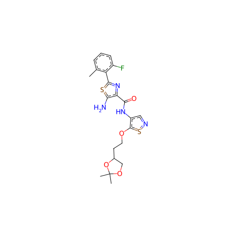 Cc1cccc(F)c1-c1nc(C(=O)Nc2cnsc2OCCC2COC(C)(C)O2)c(N)s1